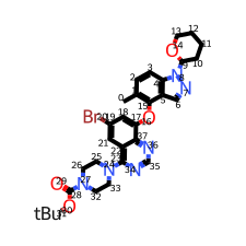 Cc1ccc2c(cnn2C2CCCCO2)c1Oc1cc(Br)cc2c(N3CCN(C(=O)OC(C)(C)C)CC3)ncnc12